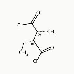 CC[C@@H](C(=O)Cl)[C@@H](C)C(=O)Cl